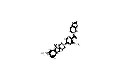 Nc1nc(N2CCC3(CC2)Cc2ccc(F)cc2C3N)cnc1C(=O)N1CCc2ncsc2C1